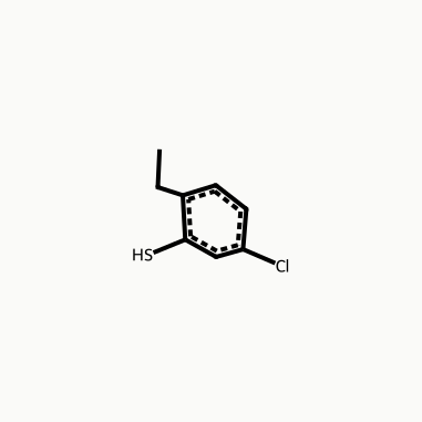 CCc1ccc(Cl)cc1S